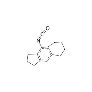 O=C=Nc1c2c(cc3c1CCC3)CCCC2